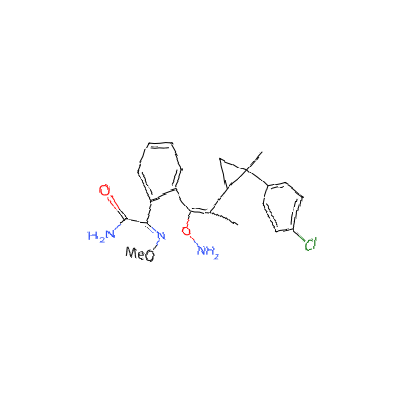 CON=C(C(N)=O)c1ccccc1C(ON)=C(C)C1CC1(C)c1ccc(Cl)cc1